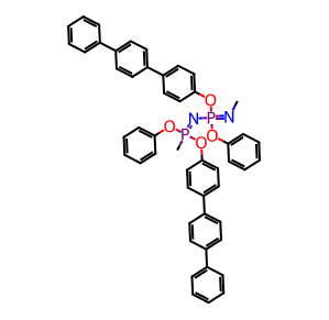 CN=P(N=P(C)(Oc1ccccc1)Oc1ccc(-c2ccc(-c3ccccc3)cc2)cc1)(Oc1ccccc1)Oc1ccc(-c2ccc(-c3ccccc3)cc2)cc1